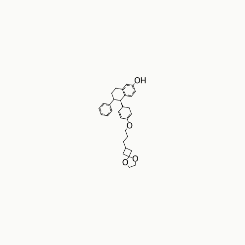 Oc1ccc2c(c1)CCC(c1ccccc1)[C@@H]2C1C=CC(OCCCC2CC3(C2)OCCO3)=CC1